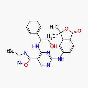 CC(C)(C)c1noc(-c2cnc(Nc3ccc4c(c3)C(C)(C)OC4=O)nc2NC(CO)c2ccccc2)n1